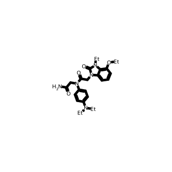 CCOc1cccc2c1n(CC)c(=O)n2CC(=O)N(CC(N)=O)c1ccc(N(CC)CC)cc1